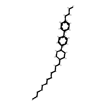 CCCCCCCCCCCCC1CCC(c2ccc(-c3ccc(CCCC)cc3)cc2)CC1